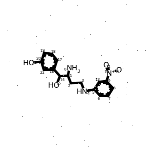 NC(CCNc1cccc([N+](=O)[O-])c1)C(O)c1cccc(O)c1